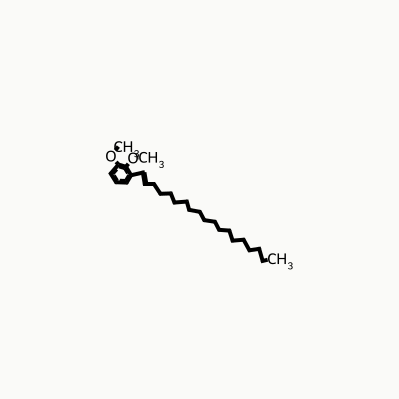 CCCCCCCCCCCCCCCCCC=Cc1cccc(OC)c1OC